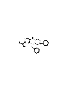 O=C(O)c1cnn2c(NCc3ccccc3)c(C(=O)N3CCC(F)(c4ccccc4)CC3)cnc12